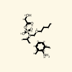 CCCCOCN(C(C)C)S(=O)(=O)OC(=O)CO.Cc1cccc(C)c1N